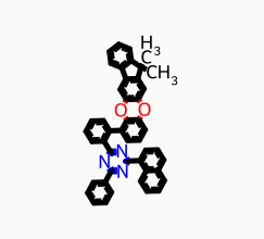 CC1(C)c2ccccc2-c2cc3c(cc21)Oc1cccc(-c2ccccc2-c2nc(-c4ccccc4)nc(-c4cccc5ccccc45)n2)c1O3